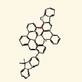 CC1(C)c2ccccc2-c2ccc(-c3ccc(N(c4ccccc4-c4ccc5oc6ccccc6c5c4)c4ccccc4-c4cccc5cccc(-c6ccccc6)c45)cc3)cc21